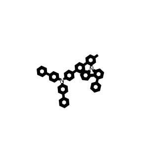 Cc1ccc(-c2ccc(-c3ccc(N(c4ccc(-c5ccccc5)cc4)c4ccc(-c5ccccc5)cc4)cc3)cc2)c(-n2c3ccccc3c3c(-c4ccccc4)cccc32)c1